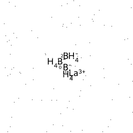 [BH4-].[BH4-].[BH4-].[La+3]